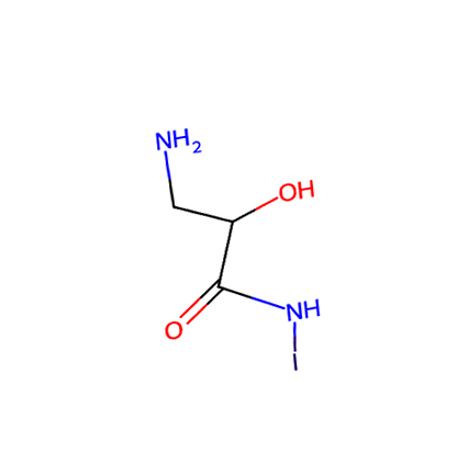 NCC(O)C(=O)NI